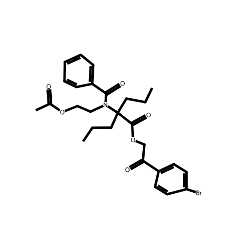 CCCC(CCC)(C(=O)OCC(=O)c1ccc(Br)cc1)N(CCOC(C)=O)C(=O)c1ccccc1